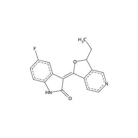 CCC1OC(=C2C(=O)Nc3ccc(F)cc32)c2ccncc21